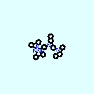 C1=CCC(c2ccccc2C2=NC(c3ccccc3-c3ccccc3)NC(c3ccc(-n4c5c(c6cc7ccccc7cc64)C=C(n4c6ccccc6c6ccc7ccccc7c64)CC5)cc3)=N2)C=C1